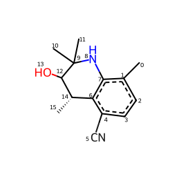 Cc1ccc(C#N)c2c1NC(C)(C)C(O)[C@H]2C